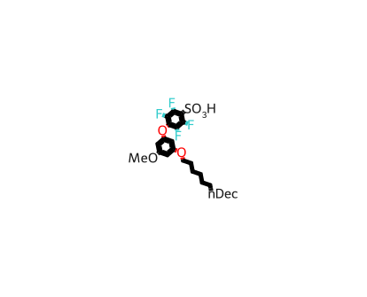 CCCCCCCCCCCCCCCCOc1cc(OC)cc(Oc2c(F)c(F)c(S(=O)(=O)O)c(F)c2F)c1